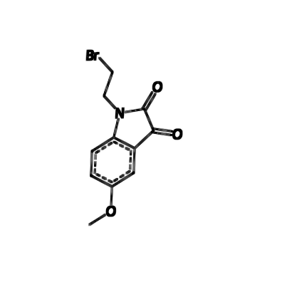 COc1ccc2c(c1)C(=O)C(=O)N2CCBr